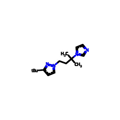 CC(C)(C)c1ccn(CCC(C)(C)n2ccnc2)n1